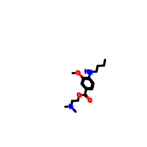 CCCCNc1ccc(C(=O)OCCN(C)C)cc1OC